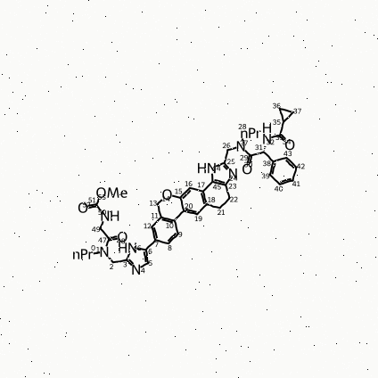 CCCN(Cc1ncc(-c2ccc3c(c2)COc2cc4c(cc2-3)CCc2nc(CN(CCC)C(=O)[C@H](NC(=O)C3CC3)c3ccccc3)[nH]c2-4)[nH]1)C(=O)CNC(=O)OC